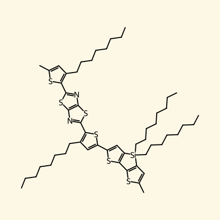 CCCCCCCCc1cc(C)sc1-c1nc2sc(-c3sc(-c4cc5c(s4)-c4sc(C)cc4[Si]5(CCCCCCCC)CCCCCCCC)cc3CCCCCCCC)nc2s1